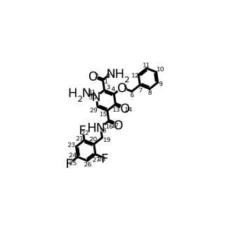 NC(=O)c1c(OCc2ccccc2)c(=O)c(C(=O)NCc2c(F)cc(F)cc2F)cn1N